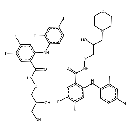 O=C(NOCC(O)CN1CCOCC1)c1cc(F)c(F)cc1Nc1ccc(I)cc1F.O=C(NOCC(O)CO)c1cc(F)c(F)cc1Nc1ccc(I)cc1F